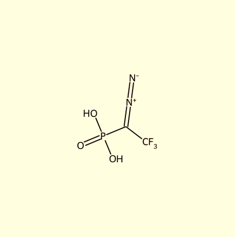 [N-]=[N+]=C(C(F)(F)F)P(=O)(O)O